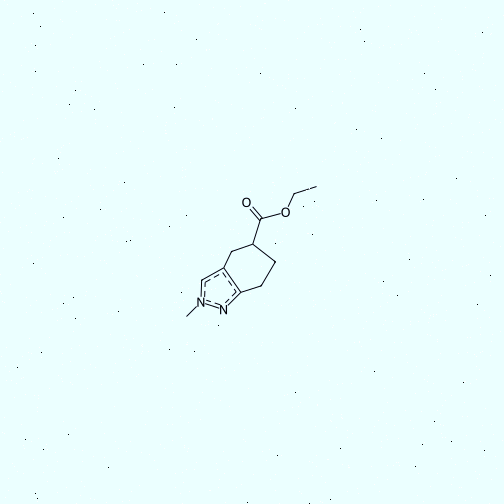 CCOC(=O)C1CCc2nn(C)cc2C1